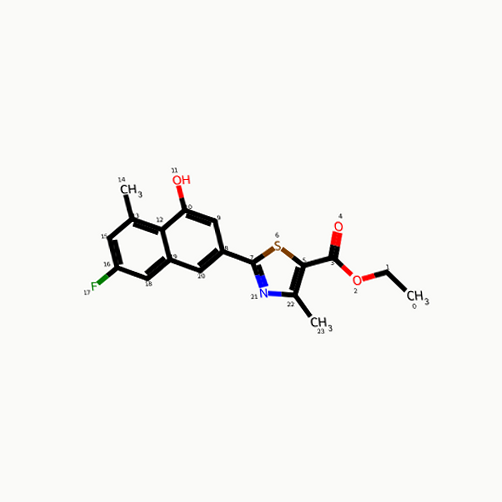 CCOC(=O)c1sc(-c2cc(O)c3c(C)cc(F)cc3c2)nc1C